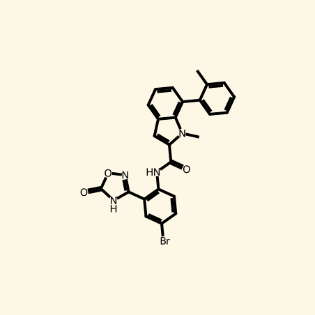 Cc1ccccc1-c1cccc2cc(C(=O)Nc3ccc(Br)cc3-c3noc(=O)[nH]3)n(C)c12